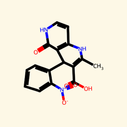 CC1=C(C(=O)O)C(c2ccccc2[N+](=O)[O-])c2c(cc[nH]c2=O)N1